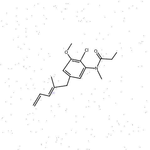 C=C/C=C(\C)Cc1cc(OC)c(Cl)c(N(C)C(=O)CC)c1